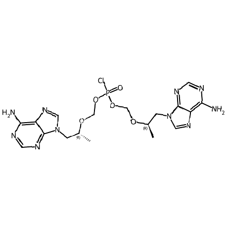 C[C@H](Cn1cnc2c(N)ncnc21)OCOP(=O)(Cl)OCO[C@H](C)Cn1cnc2c(N)ncnc21